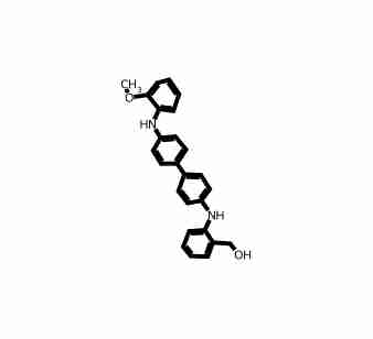 COc1ccccc1Nc1ccc(-c2ccc(Nc3ccccc3CO)cc2)cc1